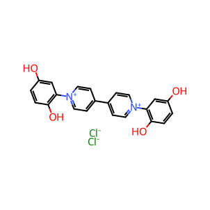 Oc1ccc(O)c(-[n+]2ccc(-c3cc[n+](-c4cc(O)ccc4O)cc3)cc2)c1.[Cl-].[Cl-]